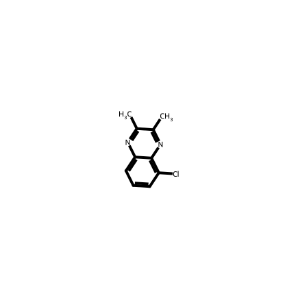 Cc1nc2cccc(Cl)c2nc1C